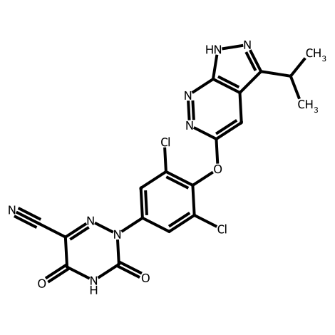 CC(C)c1n[nH]c2nnc(Oc3c(Cl)cc(-n4nc(C#N)c(=O)[nH]c4=O)cc3Cl)cc12